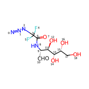 [N-]=[N+]=NC(F)(F)C(=O)N[C@@H](C=O)[C@@H](O)[C@@H](O)[C@H](O)CO